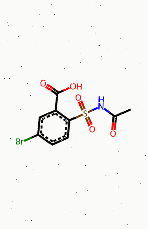 CC(=O)NS(=O)(=O)c1ccc(Br)cc1C(=O)O